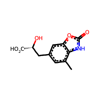 Cc1cc(C[C@@H](O)C(=O)O)cc2oc(=O)[nH]c12